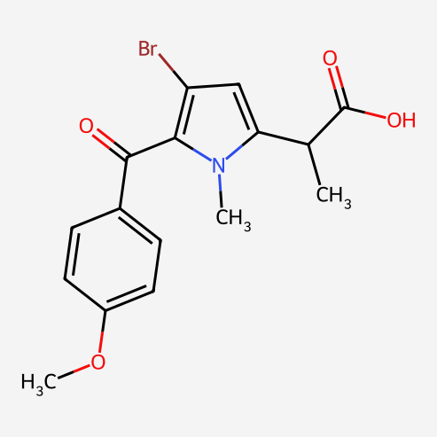 COc1ccc(C(=O)c2c(Br)cc(C(C)C(=O)O)n2C)cc1